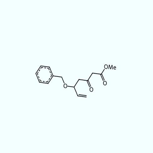 C=CC(CC(=O)CC(=O)OC)OCc1ccccc1